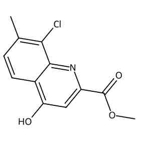 COC(=O)c1cc(O)c2ccc(C)c(Cl)c2n1